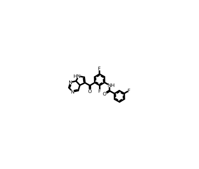 O=C(Nc1cc(F)cc(C(=O)C2=CNC3N=CN=CC23)c1F)c1cccc(F)c1